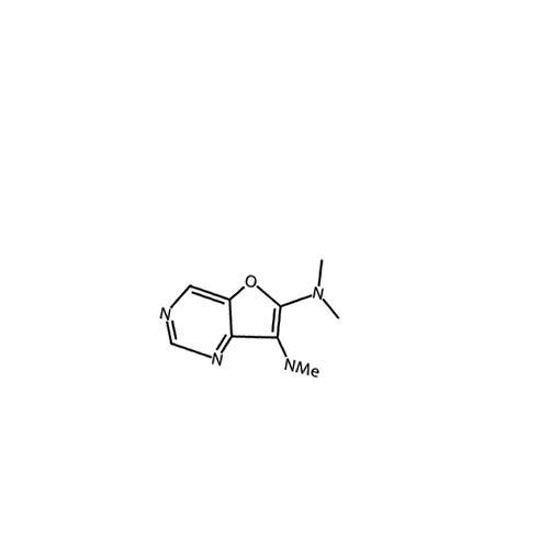 CNc1c(N(C)C)oc2cncnc12